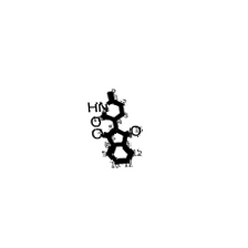 C=C1CCC(C2C(=O)c3ccccc3C2=O)C(=O)N1